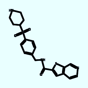 O=C(NCc1ccc(S(=O)(=O)C2CCNCC2)cc1)c1cc2ccncc2s1